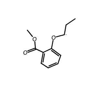 CC[CH]Oc1ccccc1C(=O)OC